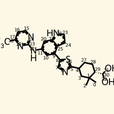 CC1(C)CC(c2ncc(-c3cc(Nc4nccc(C(F)(F)F)n4)cc4[nH]ccc34)s2)CC[C@@H]1C(O)O